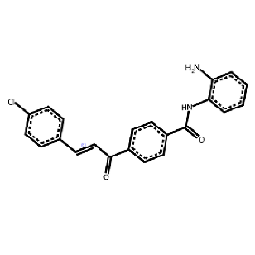 Nc1ccccc1NC(=O)c1ccc(C(=O)/C=C/c2ccc(Cl)cc2)cc1